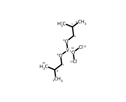 CC(C)C[O][V][O]CC(C)C.ClOCl